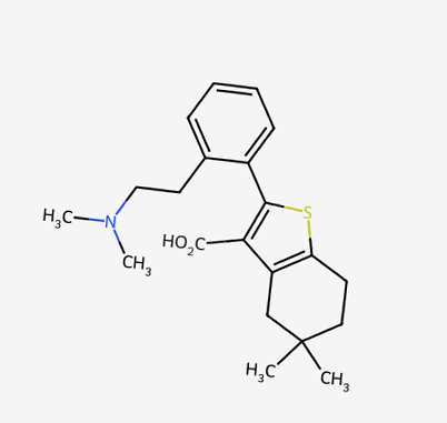 CN(C)CCc1ccccc1-c1sc2c(c1C(=O)O)CC(C)(C)CC2